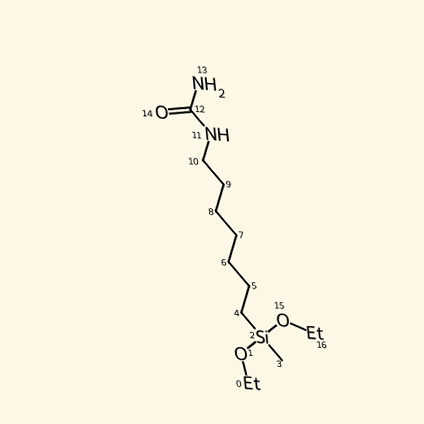 CCO[Si](C)(CCCCCCCNC(N)=O)OCC